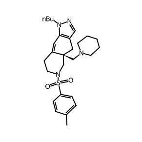 CCCCn1ncc2c1C=C1CCN(S(=O)(=O)c3ccc(C)cc3)C[C@@]1(CN1CCCCC1)C2